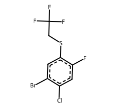 Fc1cc(Cl)c(Br)cc1SCC(F)(F)F